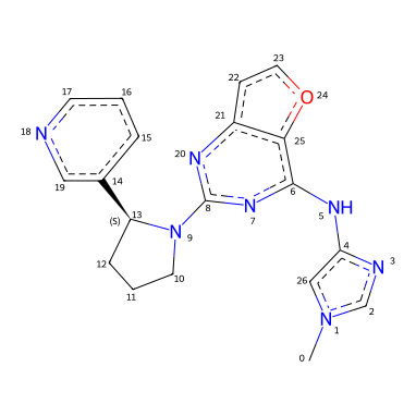 Cn1cnc(Nc2nc(N3CCC[C@H]3c3cccnc3)nc3ccoc23)c1